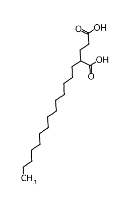 CCCCCCCCCCCCCCC(CCC(=O)O)C(=O)O